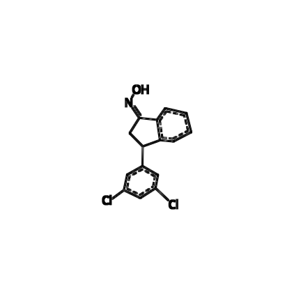 O/N=C1/CC(c2cc(Cl)cc(Cl)c2)c2ccccc21